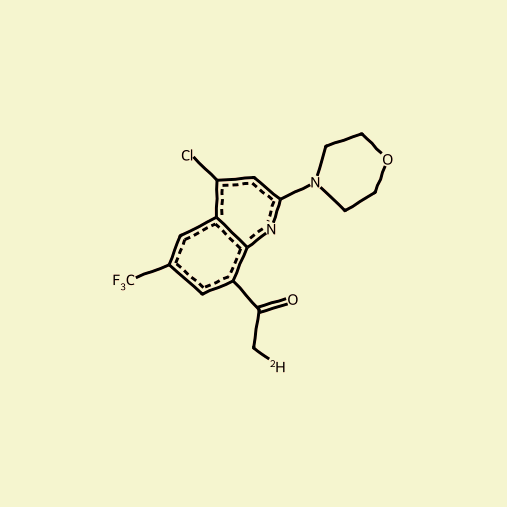 [2H]CC(=O)c1cc(C(F)(F)F)cc2c(Cl)cc(N3CCOCC3)nc12